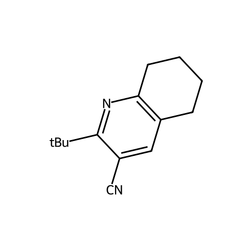 CC(C)(C)c1nc2c(cc1C#N)CCCC2